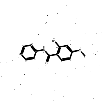 COc1ccc(C(=O)Nc2ccccc2)c(Br)c1